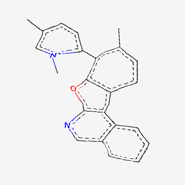 Cc1ccc(-c2c(C)ccc3c2oc2ncc4ccccc4c23)[n+](C)c1